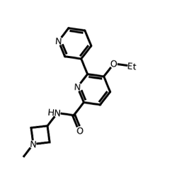 CCOc1ccc(C(=O)NC2CN(C)C2)nc1-c1cccnc1